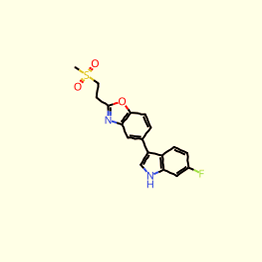 CS(=O)(=O)CCc1nc2cc(-c3c[nH]c4cc(F)ccc34)ccc2o1